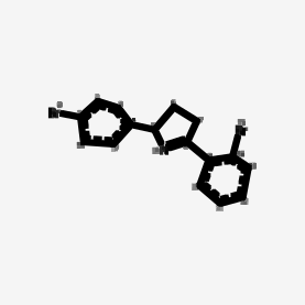 Brc1ccc(C2CCC(c3ccccc3Br)=N2)cc1